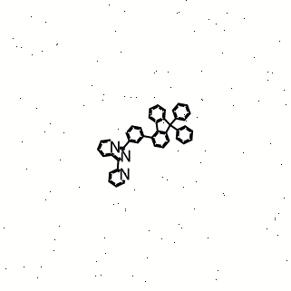 c1ccc(C2(c3ccccc3)c3ccccc3-c3c(-c4cccc(-c5nc(-c6ccccn6)c6ccccn56)c4)cccc32)cc1